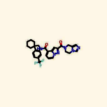 O=C(NCC1(c2ccc(C(F)(F)F)cc2)CCCCC1)c1cccn2nc(C(=O)N3CCn4cncc4C3)cc12